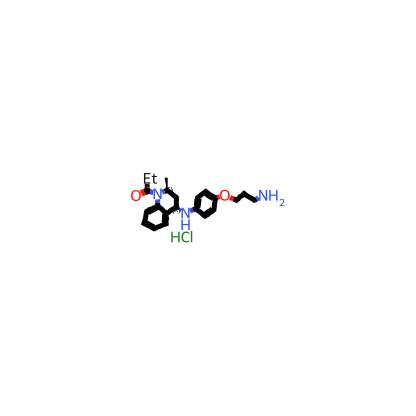 CCC(=O)N1c2ccccc2[C@H](Nc2ccc(OCCCN)cc2)C[C@@H]1C.Cl